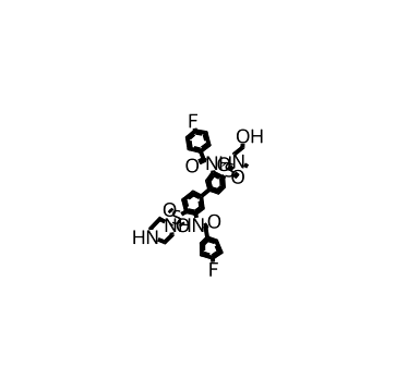 CN(CCO)S(=O)(=O)c1ccc(-c2ccc(S(=O)(=O)N3CCNCC3)c(NC(=O)c3ccc(F)cc3)c2)cc1NC(=O)c1ccc(F)cc1